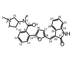 CN1CCC(N(C)C(=O)c2ccccc2-c2ccc(/C=C3/C(=O)Nc4ccccc43)o2)C1